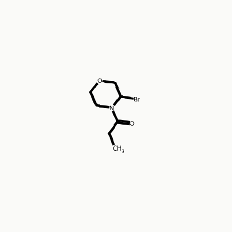 CCC(=O)N1CCOCC1Br